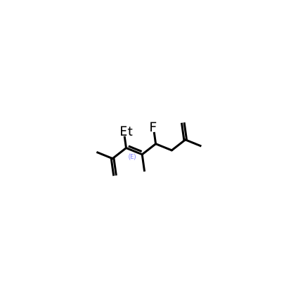 C=C(C)CC(F)/C(C)=C(\CC)C(=C)C